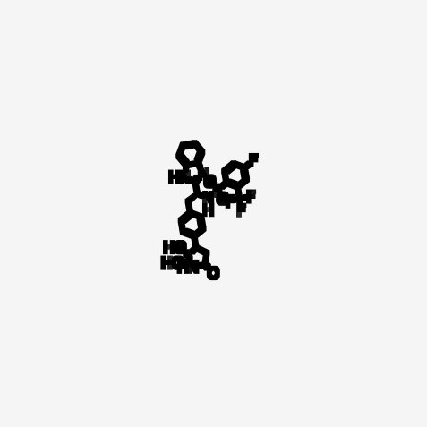 O=C1CC(c2ccc(C[C@H](NS(=O)(=O)c3ccc(F)cc3C(F)(F)F)c3nc4ccccc4[nH]3)cc2)S(O)(O)N1